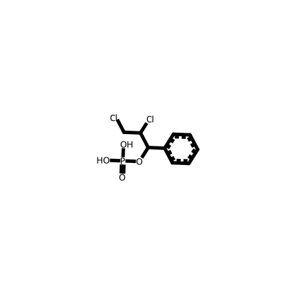 O=P(O)(O)OC(c1ccccc1)C(Cl)CCl